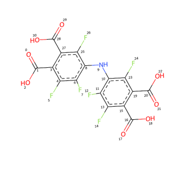 O=C(O)c1c(F)c(F)c(Nc2c(F)c(F)c(C(=O)O)c(C(=O)O)c2F)c(F)c1C(=O)O